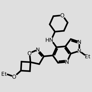 CCOC1CC2(CC(c3cnc4c(cnn4CC)c3NC3CCOCC3)=NO2)C1